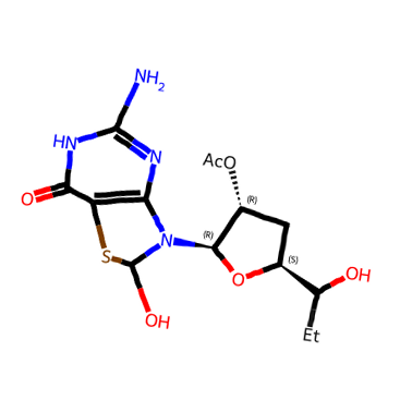 CCC(O)[C@@H]1C[C@@H](OC(C)=O)[C@H](N2c3nc(N)[nH]c(=O)c3SC2O)O1